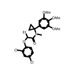 CCC(Oc1ccc(Cl)cc1Cl)C(=O)N(C)C1(c2cc(OC)c(OC)c(OC)c2)CC1